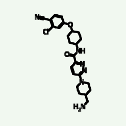 N#Cc1ccc(OC2CCC(NC(=O)c3ccc(N4CCC(CN)CC4)nn3)CC2)cc1Cl